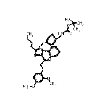 CCCCc1nc2c(CCc3ccc(OC)cc3OC)nc3ccccc3c2n1Cc1ccc(CNC(=O)OC(C)(C)C)cc1